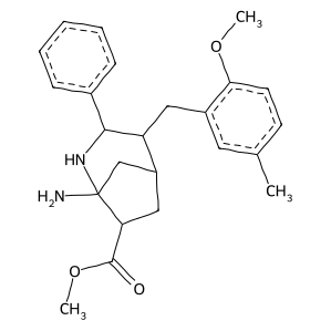 COC(=O)C1CC2CC1(N)NC(c1ccccc1)C2Cc1cc(C)ccc1OC